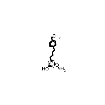 C=Cc1ccc(CCCCc2nc(O)nc(ON)n2)cc1